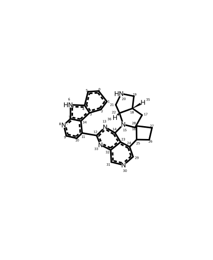 c1ccc2c(c1)[nH]c1nccc(-c3nc(N4CC[C@H]5CNC[C@H]54)c4c(C5CCC5)cncc4n3)c12